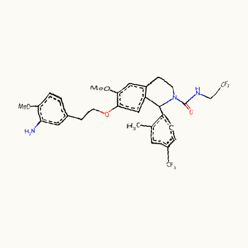 COc1ccc(CCOc2cc3c(cc2OC)CCN(C(=O)NCC(F)(F)F)C3c2ccc(C(F)(F)F)cc2C)cc1N